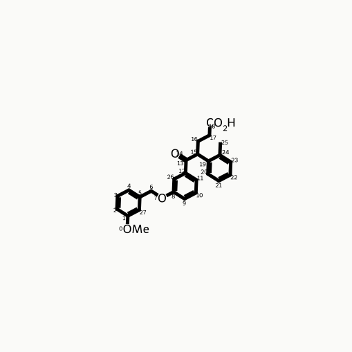 COc1cccc(COc2cccc(C(=O)C(CCC(=O)O)c3ccccc3C)c2)c1